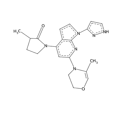 CC1=COCCN1c1cc(N2CCC(C)C2=O)c2ccn(-c3cc[nH]n3)c2n1